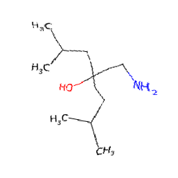 CC(C)CC(O)(CN)CC(C)C